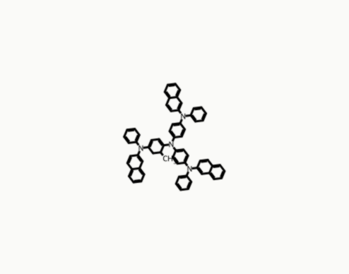 CC1CC(N(c2ccccc2)c2ccc3ccccc3c2)=CC=C1N(c1ccc(N(c2ccccc2)c2ccc3ccccc3c2)cc1)c1ccc(N(c2ccccc2)c2ccc3ccccc3c2)cc1